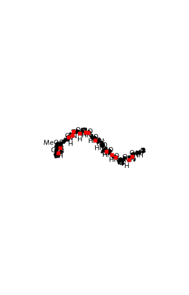 COc1cc2c(cc1OCCCC(=O)Nc1cn(C)c(C(=O)Nc3cn(C)c(C(=O)NCCC(=O)Nc4cn(C)c(C(=O)Nc5cc(C(=O)NCCC(=O)Nc6cc(C(=O)Nc7cc(C(=O)NCCCN(C)C)n(C)c7)n(C)c6)n(C)c5)n4)n3)n1)N=C[C@@H]1CCCN1C2=O